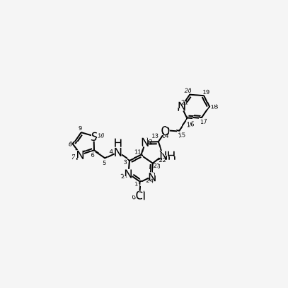 Clc1nc(NCc2nccs2)c2nc(OCc3ccccn3)[nH]c2n1